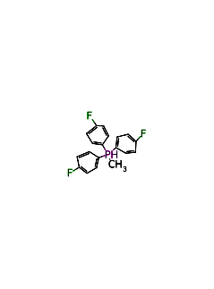 C[PH](c1ccc(F)cc1)(c1ccc(F)cc1)c1ccc(F)cc1